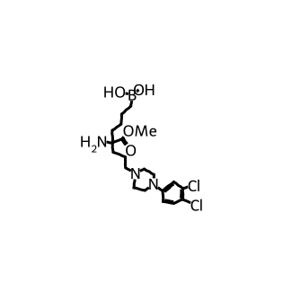 COC(=O)C(N)(CCCCB(O)O)CCCN1CCN(c2ccc(Cl)c(Cl)c2)CC1